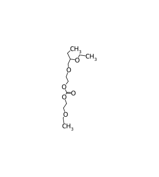 CCOCCOC(=O)OCCOCC(CC)OCC